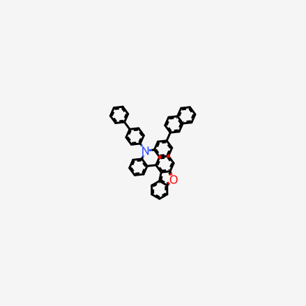 c1ccc(-c2ccc(N(c3cccc(-c4ccc5ccccc5c4)c3)c3ccccc3-c3cccc4oc5ccccc5c34)cc2)cc1